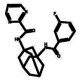 O=C(NC12CC3CC(C1)CC(NC(=O)c1ncccn1)(C3)C2)c1cccc(F)c1